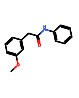 COc1cccc(CC(=O)Nc2ccccc2)c1